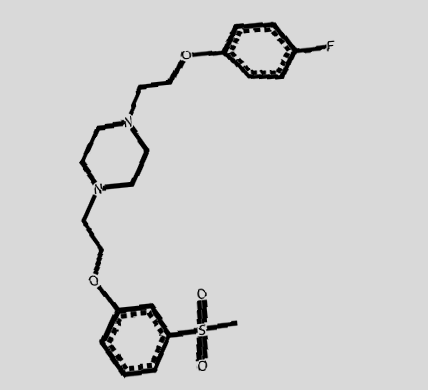 CS(=O)(=O)c1cccc(OCCN2CCN(CCOc3ccc(F)cc3)CC2)c1